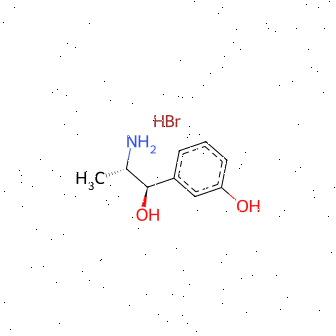 Br.C[C@H](N)[C@H](O)c1cccc(O)c1